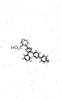 O=C(O)C1COCCN1c1nc(-c2ccc(-c3ccc(F)cc3)cc2)c(-c2ccccc2)s1